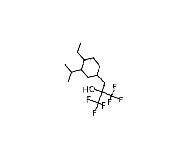 CCC1CCC(CC(O)(C(F)(F)F)C(F)(F)F)CC1C(C)C